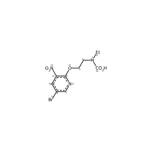 CCN(CCOc1ncc(Br)cc1[N+](=O)[O-])C(=O)O